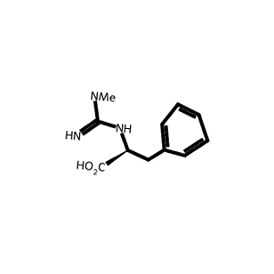 CNC(=N)N[C@@H](Cc1ccccc1)C(=O)O